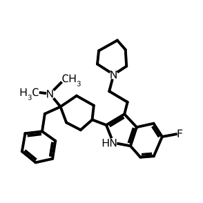 CN(C)C1(Cc2ccccc2)CCC(c2[nH]c3ccc(F)cc3c2CCN2CCCCC2)CC1